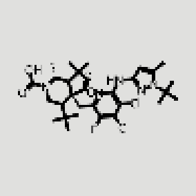 Cc1cc(Nc2nc(C[C@@]3(C(=O)O)C(C(C)(C)C)CN(C(=O)O)[C@H](C)C3C(C)(C)C)c(F)c(Cl)c2Cl)nn1C(C)(C)C